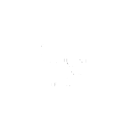 CC1CC1c1cc2c(c(C(F)(F)F)c1)C(=O)N1CCNC[C@@H]21